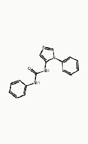 O=C(Nc1ccccc1)Nc1cncn1-c1ccccc1